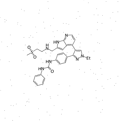 CCn1cc(-c2ccnc3[nH]c(CNCCS(C)(=O)=O)cc23)c(-c2ccc(NC(=O)Nc3ccccc3)cc2)n1